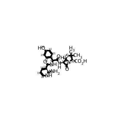 CC1(C)S[C@@H]2[C@H](NC(=O)C(NC(=O)C3=CC=CNN3N)c3ccc(O)cc3)C(=O)N2[C@H]1C(=O)O